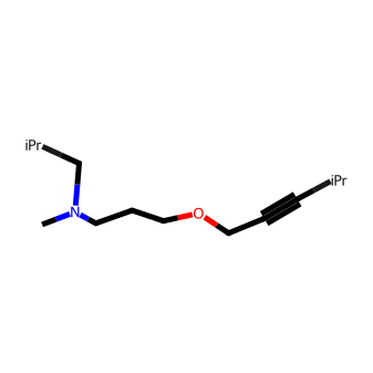 CC(C)C#CCOCCCN(C)CC(C)C